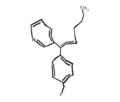 [CH2]CCC=C(c1ccc(F)cc1)c1cccnc1